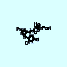 CCCCCS(=O)(=O)NC(=O)C=Cc1cc(C(C)C)nn1Cc1ccc(Cl)cc1Cl